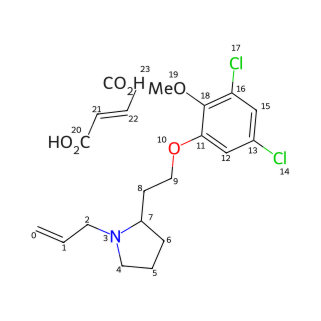 C=CCN1CCCC1CCOc1cc(Cl)cc(Cl)c1OC.O=C(O)/C=C/C(=O)O